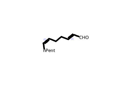 CCCCC/C=C\CC/C=C/C=O